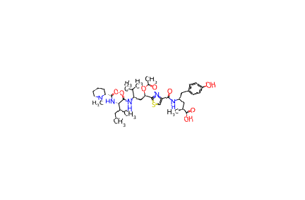 CC[C@H](C)[C@H](NC(=O)[C@H]1CCCCN1C)C(=O)N[C@H](C[C@@H](OC(C)=O)c1nc(C(=O)N[C@@H](Cc2ccc(O)cc2)C[C@H](C)C(=O)O)cs1)C(C)C